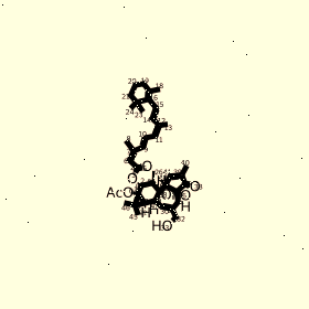 CC(=O)O[C@@]12[C@H](OC(=O)C=C(C)C=CC=C(C)C=CC3=C(C)CCCC3(C)C)[C@@H](C)[C@@]3(O)[C@@H](C=C(CO)C[C@]4(O)C(=O)C(C)=C[C@@H]34)[C@H]1C2(C)C